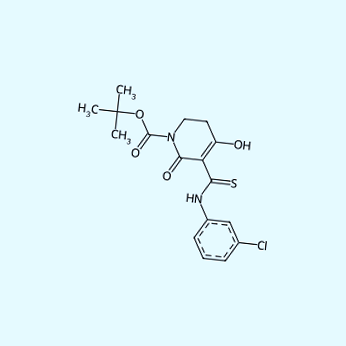 CC(C)(C)OC(=O)N1CCC(O)=C(C(=S)Nc2cccc(Cl)c2)C1=O